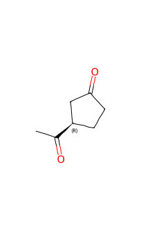 CC(=O)[C@@H]1CCC(=O)C1